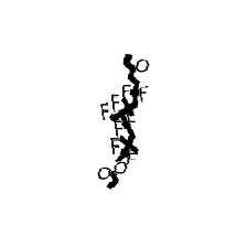 C=CC(=O)CCC(F)(F)CC(C)(C)C(F)(CF)C(F)(F)CC(C)(C)C(F)(F)COC(=O)C=C